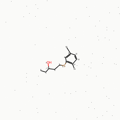 CCC(O)CCSc1cc(C)ccc1C